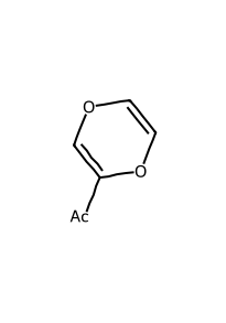 CC(=O)C1=COC=CO1